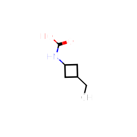 CCC1CC(NC(=O)O)C1